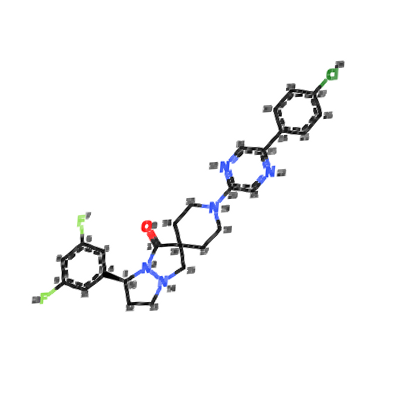 O=C1N2[C@H](c3cc(F)cc(F)c3)CCN2CC12CCN(c1cnc(-c3ccc(Cl)cc3)cn1)CC2